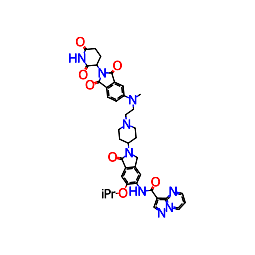 CC(C)Oc1cc2c(cc1NC(=O)c1cnn3cccnc13)CN(C1CCN(CCN(C)c3ccc4c(c3)C(=O)N(C3CCC(=O)NC3=O)C4=O)CC1)C2=O